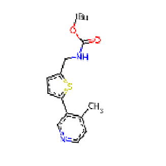 Cc1ccncc1-c1ccc(CNC(=O)OC(C)(C)C)s1